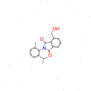 Cc1cccc(C(C)C)c1N1C(=O)c2cccc(CO)c2C1=O